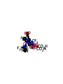 CC(C)(C#Cc1ccc(-c2ccc(Cl)c3c(N(C(=O)OC(C(=O)O)C(O)C(=O)O)S(C)(=O)=O)nn(CC(F)(F)F)c23)c(C(Cc2cc(F)cc(F)c2)NC(=O)Cn2nc(C(F)(F)F)c3c2C(F)(F)[C@@H]2C[C@H]32)n1)S(C)(=O)=O